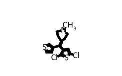 CN1CCC(=C(c2ccsc2)c2cc(Cl)sc2Cl)CC1